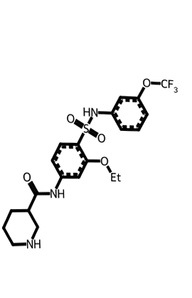 CCOc1cc(NC(=O)C2CCCNC2)ccc1S(=O)(=O)Nc1cccc(OC(F)(F)F)c1